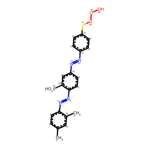 Cc1ccc(N=Nc2ccc(N=Nc3ccc(SOOO)cc3)cc2S(=O)(=O)O)c(C)c1